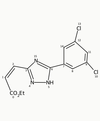 CCOC(=O)/C=C\c1n[nH]c(-c2cc(Cl)cc(Cl)c2)n1